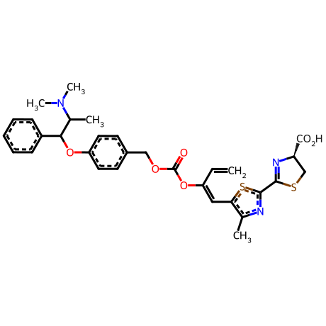 C=C/C(=C\c1sc(C2=N[C@@H](C(=O)O)CS2)nc1C)OC(=O)OCc1ccc(OC(c2ccccc2)C(C)N(C)C)cc1